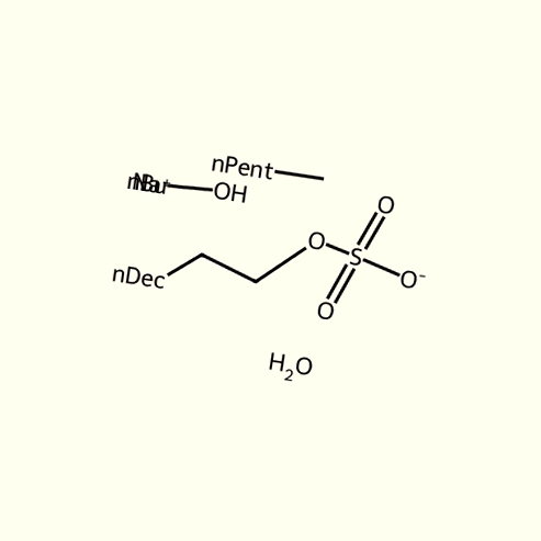 CCCCCC.CCCCCCCCCCCCOS(=O)(=O)[O-].CCCCO.O.[Na+]